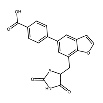 O=C1NC(=O)C(Cc2cc(-c3ccc(C(=O)O)cc3)cc3ccoc23)S1